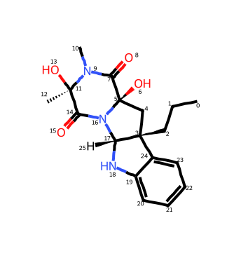 CCC[C@]12C[C@@]3(O)C(=O)N(C)[C@](C)(O)C(=O)N3[C@H]1Nc1ccccc12